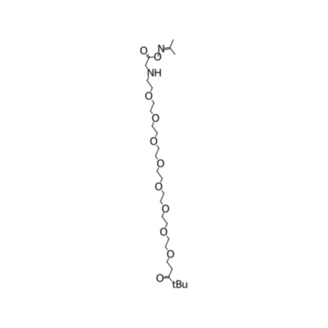 CC(C)=NOC(=O)CNCCOCCOCCOCCOCCOCCOCCOCCOCCC(=O)C(C)(C)C